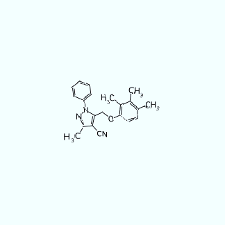 Cc1ccc(OCc2c(C#N)c(C)nn2-c2ccccc2)c(C)c1C